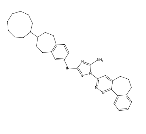 Nc1nc(Nc2ccc3c(c2)CCC(C2CCCCCCCC2)CC3)nn1-c1cc2c(nn1)-c1ccccc1CCC2